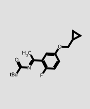 CC(=NC(=O)C(C)(C)C)c1cc(OCC2CC2)ccc1F